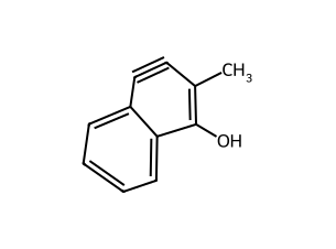 Cc1c#cc2ccccc2c1O